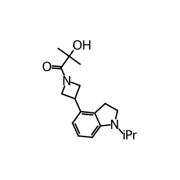 CC(C)N1CCc2c(C3CN(C(=O)C(C)(C)O)C3)cccc21